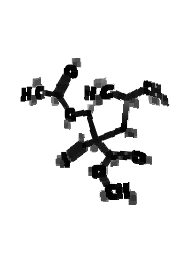 COC(=O)C(C#N)(COC(C)=O)CC(C)C